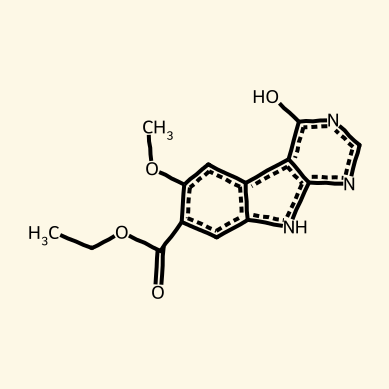 CCOC(=O)c1cc2[nH]c3ncnc(O)c3c2cc1OC